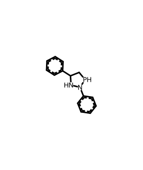 c1ccc(C2CPN(c3ccccc3)N2)cc1